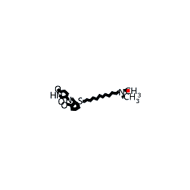 CCN(CC)CCCCCCCCCCCCSc1cccc2c1CN(C1CCC(=O)NC1=O)C2=O